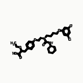 CCOC(Cc1ccc(OCCN(CCCCOc2cc(Cl)cc(Cl)c2)C(=O)NC2CCCCC2)cc1)C(=O)O